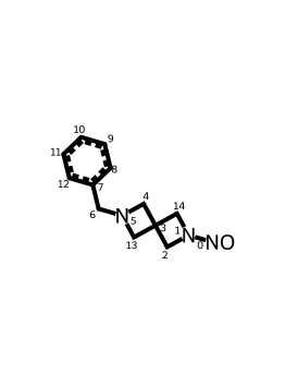 O=NN1CC2(CN(Cc3ccccc3)C2)C1